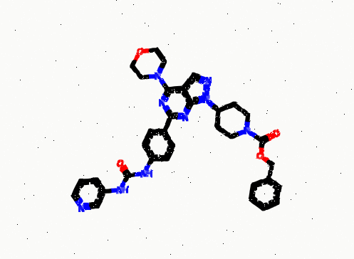 O=C(Nc1ccc(-c2nc(N3CCOCC3)c3cnn(C4CCN(C(=O)OCc5ccccc5)CC4)c3n2)cc1)Nc1cccnc1